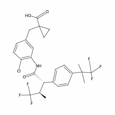 C[C@H]([C@H](C(=O)Nc1cc(CC2(C(=O)O)CC2)ccc1Cl)c1ccc(C(C)(C)C(F)(F)F)cc1)C(F)(F)F